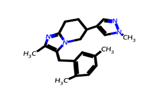 Cc1ccc(C)c(Cc2c(C)nc3n2CC(c2cnn(C)c2)CC3)c1